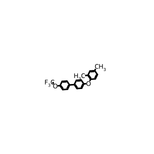 Cc1ccc(Oc2ccc(-c3ccc(OC(F)(F)F)cc3)cc2)c(C)c1